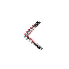 [Na+].[Na+].[Na+].[Na+].[Na+].[Na+].[Na+].[Na+].[Na+].[Na+].[Na+].[Na+].[Na+].[Na+].[Na+].[Na+].[O-]B([O-])F.[O-]B([O-])F.[O-]B([O-])F.[O-]B([O-])F.[O-]B([O-])F.[O-]B([O-])F.[O-]B([O-])F.[O-]B([O-])F